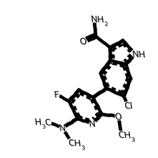 COc1nc(N(C)C)c(F)cc1-c1cc2c(C(N)=O)c[nH]c2cc1Cl